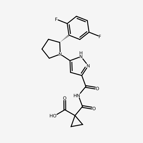 O=C(NC(=O)C1(C(=O)O)CC1)c1cc(N2CCC[C@@H]2c2cc(F)ccc2F)[nH]n1